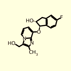 Cc1nc2c(O[C@@H]3c4ccc(F)cc4C[C@H]3O)cccn2c1CO